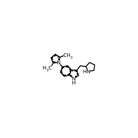 Cc1ccc(C)n1-c1ccc2[nH]cc(CC3CCCN3)c2c1